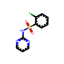 O=S(=O)(Nc1ncccn1)c1ccccc1F